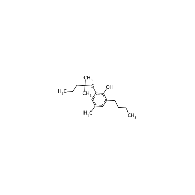 CCCCc1cc(C)cc(SC(C)(C)CCC)c1O